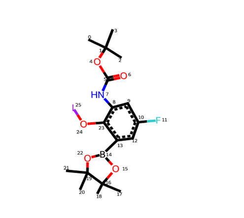 CC(C)(C)OC(=O)Nc1cc(F)cc(B2OC(C)(C)C(C)(C)O2)c1OI